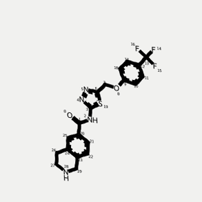 O=C(Nc1nnc(COc2ccc(C(F)(F)F)cc2)s1)c1ccc2c(c1)CCNC2